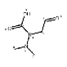 CN(C)N(CC=O)C(=O)O